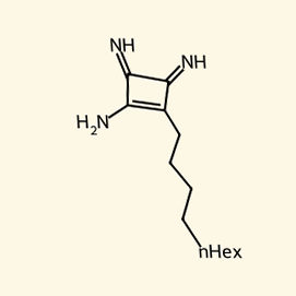 CCCCCCCCCCc1c(N)c(=N)c1=N